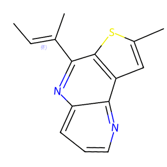 C/C=C(\C)c1nc2cccnc2c2cc(C)sc12